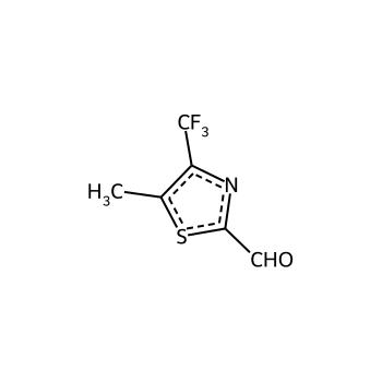 Cc1sc(C=O)nc1C(F)(F)F